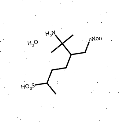 CCCCCCCCCCC(CCC(C)S(=O)(=O)O)C(C)(C)N.O